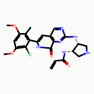 C=CC(=O)N[C@H]1CNC[C@H]1Nc1ncc2cc(-c3c(C)c(OC)cc(OC)c3Cl)[nH]c(=O)c2n1